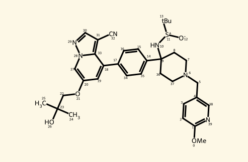 COc1ccc(CN2CCC(N[S+]([O-])C(C)(C)C)(c3ccc(-c4cc(OCC(C)(C)O)cn5ncc(C#N)c45)cc3)CC2)cn1